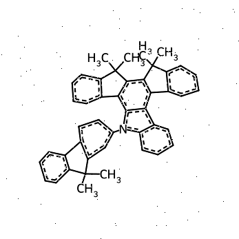 CC1(C)c2ccccc2-c2ccc(-n3c4ccccc4c4c5c(c6c(c43)-c3ccccc3C6(C)C)C(C)(C)c3ccccc3-5)cc21